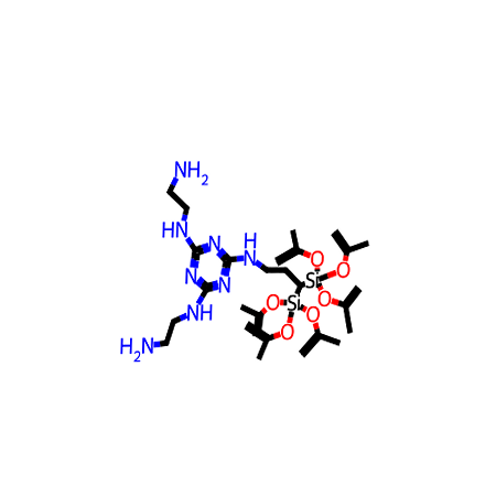 C=C(C)O[Si](OC(=C)C)(OC(=C)C)C(CCNc1nc(NCCN)nc(NCCN)n1)[Si](OC(=C)C)(OC(=C)C)OC(=C)C